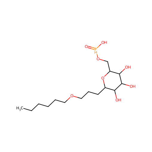 CCCCCCOCCCC1OC(CO[PH](=O)O)C(O)C(O)C1O